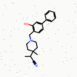 CC(C#N)C1(C)CCN(Cc2ccc(-c3ccccc3)cc2O)CC1